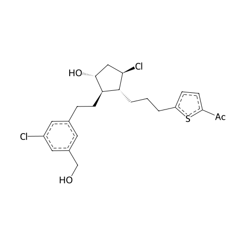 CC(=O)c1ccc(CCC[C@@H]2[C@@H](CCc3cc(Cl)cc(CO)c3)[C@H](O)C[C@H]2Cl)s1